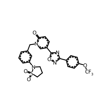 O=c1ccc(-c2nc(-c3ccc(OC(F)(F)F)cc3)no2)cn1Cc1cccc(N2CCCS2(=O)=O)c1